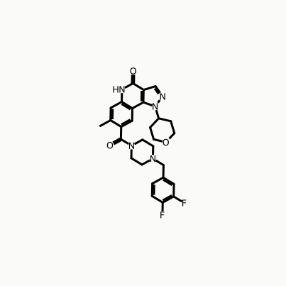 Cc1cc2[nH]c(=O)c3cnn(C4CCOCC4)c3c2cc1C(=O)N1CCN(Cc2ccc(F)c(F)c2)CC1